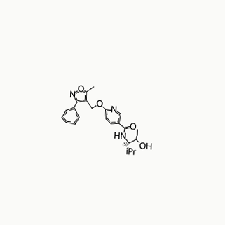 Cc1onc(-c2ccccc2)c1COc1ccc(C(=O)N[C@@H](C(C)C)C(O)I)cn1